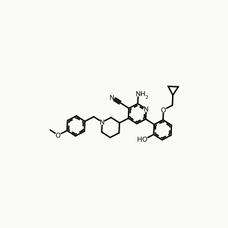 COc1ccc(CN2CCCC(c3cc(-c4c(O)cccc4OCC4CC4)nc(N)c3C#N)C2)cc1